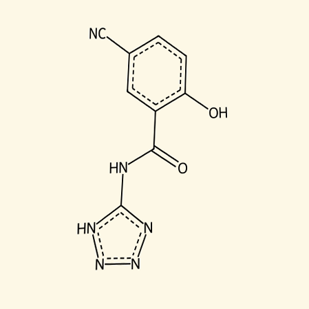 N#Cc1ccc(O)c(C(=O)Nc2nnn[nH]2)c1